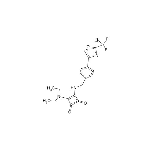 CCN(CC)c1c(NCc2ccc(-c3noc(C(F)(F)Cl)n3)cc2)c(=O)c1=O